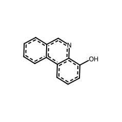 Oc1cccc2c1ncc1ccccc12